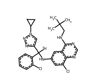 [2H]C(Nc1cc(Cl)c2ncnc(NCC(C)(C)C)c2c1)(c1cn(C2CC2)nn1)c1ccccc1Cl